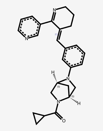 O=C(C1CC1)N1C[C@@H]2C[C@H]1CN2c1cccc(/C=C2\CCCN=C2c2cccnc2)c1